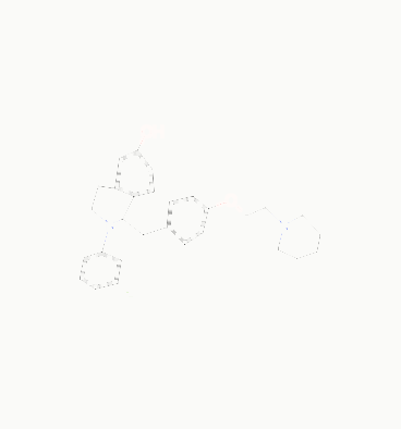 Oc1ccc2c(c1)CCN(c1cccc(F)c1)C2Cc1ccc(OCCN2CCCCC2)cc1